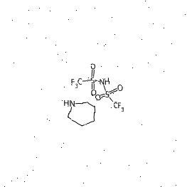 C1CCNCC1.O=S(=O)(NS(=O)(=O)C(F)(F)F)C(F)(F)F